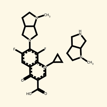 CN1CCC2CN(c3c(F)cc4c(=O)c(C(=O)O)cn(C5CC5)c4c3F)CC21.CN1CCC2CNCC21